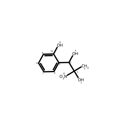 CC(O)(C(O)c1ccccc1O)[N+](=O)[O-]